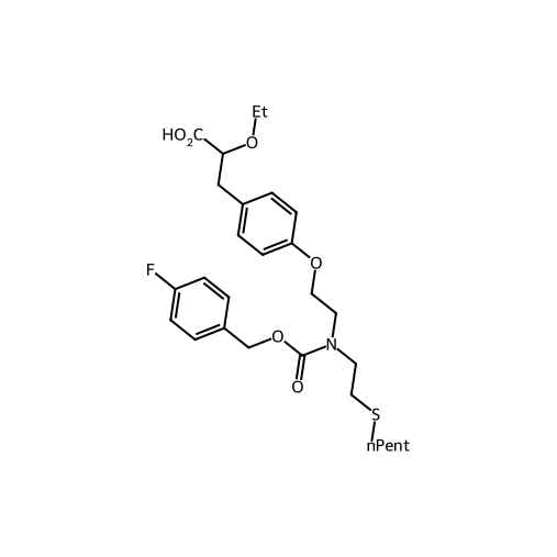 CCCCCSCCN(CCOc1ccc(CC(OCC)C(=O)O)cc1)C(=O)OCc1ccc(F)cc1